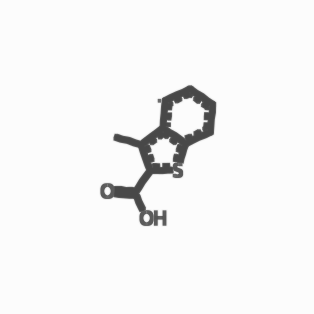 Cc1c(C(=O)O)sc2ccc[c]c12